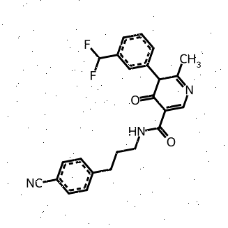 CC1=NC=C(C(=O)NCCCc2ccc(C#N)cc2)C(=O)C1c1cccc(C(F)F)c1